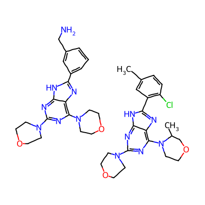 Cc1ccc(Cl)c(-c2nc3c(N4CCOCC4C)nc(N4CCOCC4)nc3[nH]2)c1.NCc1cccc(-c2nc3c(N4CCOCC4)nc(N4CCOCC4)nc3[nH]2)c1